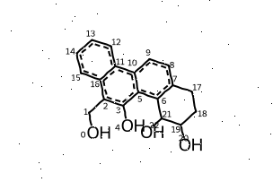 OCc1c(O)c2c3c(ccc2c2ccccc12)CCC(O)C3O